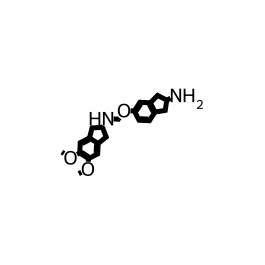 COc1cc2c(cc1OC)CC(NCOc1ccc3c(c1)CC(N)C3)C2